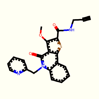 C#CCNC(=O)c1sc2c(c1OC)c(=O)n(Cc1ccccn1)c1ccccc21